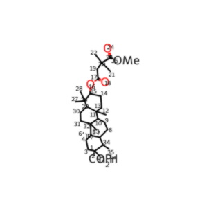 CCCC1(C(=O)O)CC[C@]2(C)C(CCC3C4(C)CCC(OC(=O)CC(C)(C)C(=O)OC)C(C)(C)C4CCC32C)C1C